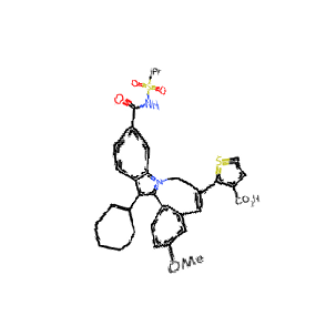 COc1ccc2c(c1)C=C(c1sccc1C(=O)O)Cn1c-2c(C2CCCCC2)c2ccc(C(=O)NS(=O)(=O)C(C)C)cc21